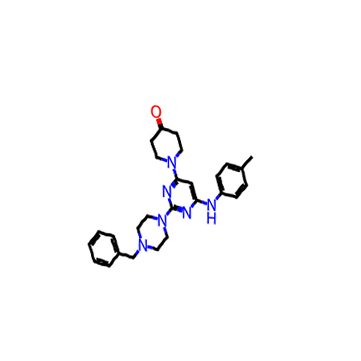 Cc1ccc(Nc2cc(N3CCC(=O)CC3)nc(N3CCN(Cc4ccccc4)CC3)n2)cc1